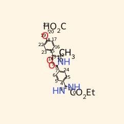 CCOC(=O)NC(=N)c1ccc(C(=O)NC(C)C(=O)c2ccc(OCC(=O)O)cc2)cc1